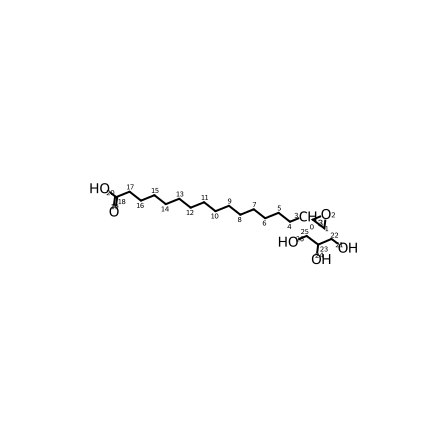 C1CO1.CCCCCCCCCCCCCCCC(=O)O.OCC(O)CO